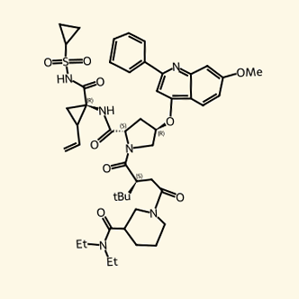 C=CC1C[C@]1(NC(=O)[C@@H]1C[C@@H](Oc2cc(-c3ccccc3)nc3cc(OC)ccc23)CN1C(=O)[C@@H](CC(=O)N1CCCC(C(=O)N(CC)CC)C1)C(C)(C)C)C(=O)NS(=O)(=O)C1CC1